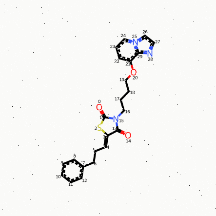 O=C1SC(=CCCc2ccccc2)C(=O)N1CCCCOc1cccn2ccnc12